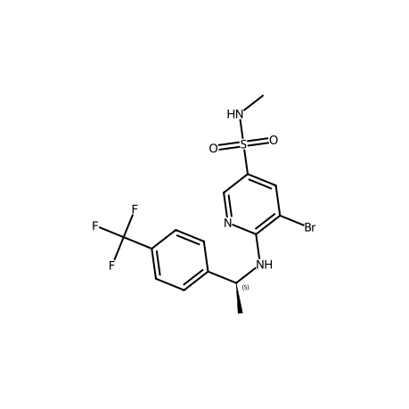 CNS(=O)(=O)c1cnc(N[C@@H](C)c2ccc(C(F)(F)F)cc2)c(Br)c1